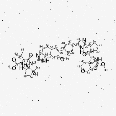 COC(=O)N[C@H](C(=O)N1[C@H](c2nc3c([nH]2)C2C=C4OCc5cc(-c6cnc(C7CCCN7C(=O)[C@@H](NC(=O)OC)C7CCOCC7)[nH]6)ccc5C4=CC2C=C3)C[C@@H]2CCC[C@@H]21)C(C)C